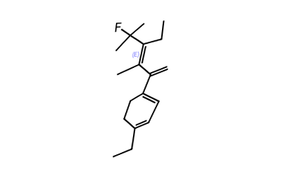 C=C(C1=CC=C(CC)CC1)/C(C)=C(\CC)C(C)(C)F